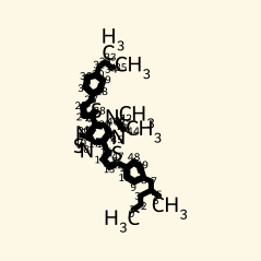 CCCCC(CC)Cc1ccc(-c2ccc(-c3c4nsnc4c(-c4ccc(-c5ccc(CC(C)CC)cc5)s4)c4nc(C)c(C)nc34)s2)cc1